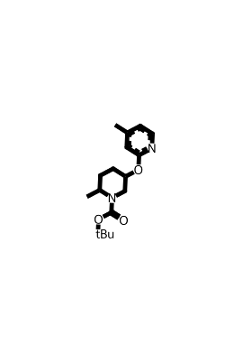 Cc1ccnc(OC2CCC(C)N(C(=O)OC(C)(C)C)C2)c1